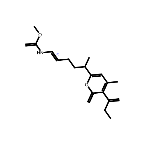 C=C(N/C=C/CCC(C)C1=CC(C)=C(C(=C)CC)C(=C)O1)OC